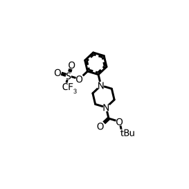 CC(C)(C)OC(=O)N1CCN(c2ccccc2OS(=O)(=O)C(F)(F)F)CC1